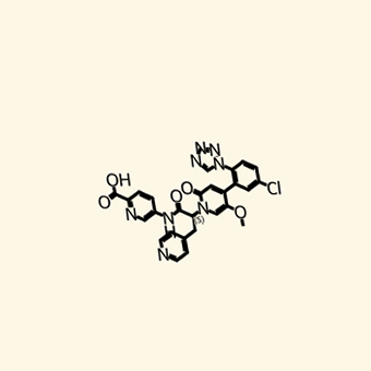 COc1cn([C@@H](Cc2ccncc2)C(=O)Nc2ccc(C(=O)O)nc2)c(=O)cc1-c1cc(Cl)ccc1-n1cnnn1